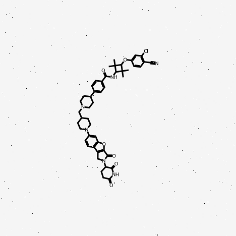 CC1(C)C(NC(=O)c2ccc(C3CCN(CC4CCN(c5ccc6c7c(oc6c5)C(=O)N(C5CCC(=O)NC5=O)C7)CC4)CC3)cc2)C(C)(C)C1Oc1ccc(C#N)c(Cl)c1